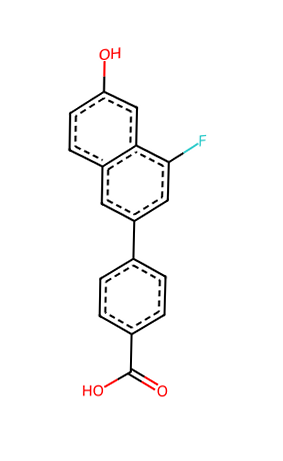 O=C(O)c1ccc(-c2cc(F)c3cc(O)ccc3c2)cc1